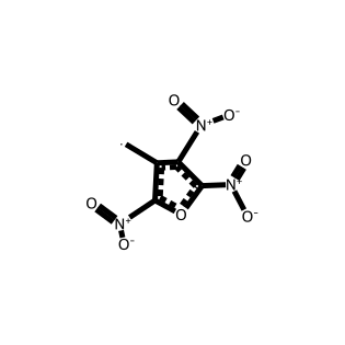 [CH2]c1c([N+](=O)[O-])oc([N+](=O)[O-])c1[N+](=O)[O-]